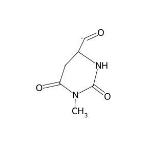 CN1C(=O)CC([C]=O)NC1=O